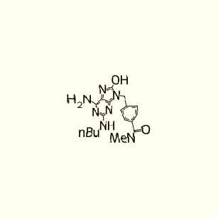 CCCCNc1nc(N)c2nc(O)n(Cc3ccc(C(=O)NC)cc3)c2n1